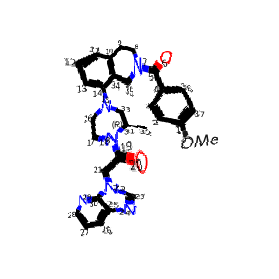 COc1ccc(C(=O)N2CCc3cccc(N4CCN(C(=O)Cn5cnc6cccnc65)[C@H](C)C4)c3C2)cc1